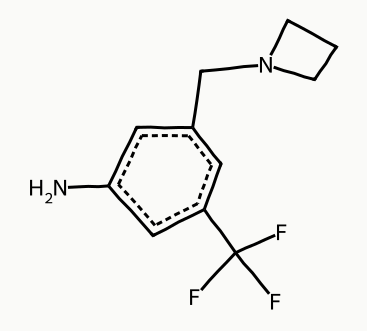 Nc1cc(CN2CCC2)cc(C(F)(F)F)c1